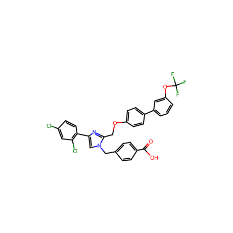 O=C(O)c1ccc(Cn2cc(-c3ccc(Cl)cc3Cl)nc2COc2ccc(-c3cccc(OC(F)(F)F)c3)cc2)cc1